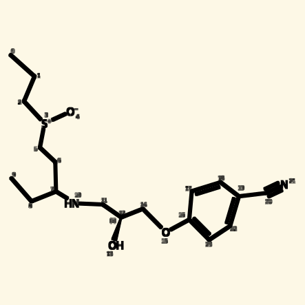 CCC[S+]([O-])CCC(CC)NC[C@H](O)COc1ccc(C#N)cc1